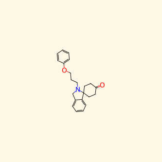 O=C1CCC2(CC1)c1ccccc1CN2CCCOc1ccccc1